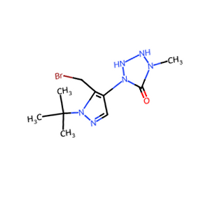 CN1NNN(c2cnn(C(C)(C)C)c2CBr)C1=O